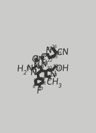 Cc1cc(-c2c(-c3ccc(F)cc3)nc(N)n3c(=O)n(Cc4ccc(C#N)cn4)nc23)cc(CO)n1